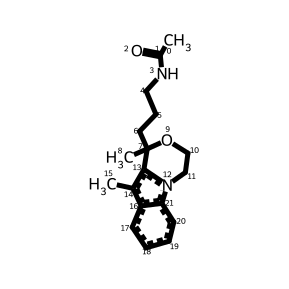 CC(=O)NCCCC1(C)OCCn2c1c(C)c1ccccc12